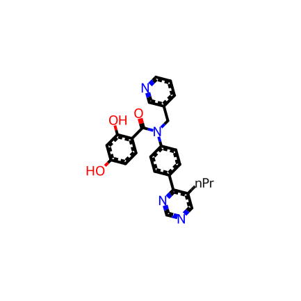 CCCc1cncnc1-c1ccc(N(Cc2cccnc2)C(=O)c2ccc(O)cc2O)cc1